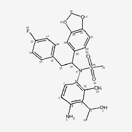 CC(O)c1c(N)ccc(N(C(Cc2ccc(F)cc2)c2ccc3c(c2)OCO3)S(C)(=O)=O)c1O